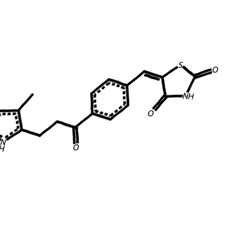 Cc1cc[nH]c1CCC(=O)c1ccc(C=C2SC(=O)NC2=O)cc1